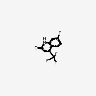 O=c1cc(C(F)(F)F)c2ccc(F)cc2[nH]1